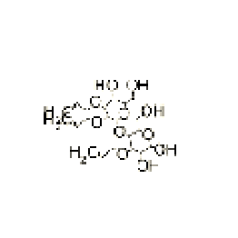 C=CCO[C@@H]1[C@@H](O)[C@H](O)O[C@H](CO)[C@H]1O[C@H]1O[C@H](CO)[C@@H](O)[C@H](OCC=C)[C@H]1OCC=C